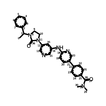 CC(c1ccccc1)N1CCN(c2cncc(Nc3ccc(-c4ccc(C(=O)N(C)C)cc4)cn3)c2)C1=O